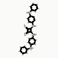 O=c1c(Nc2ccc(Nc3ccccc3)cc2)c(Nc2ccc(Nc3ccccc3)cc2)c1=O